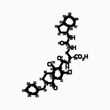 O=C(NC[C@@H](NC(=O)c1c(Cl)cc2c(c1Cl)CCN(Cc1ccccc1)C2=O)C(=O)O)NC1CCc2ccccc21